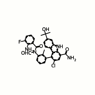 Cc1c(-c2c(Cl)cc(C(N)=O)c3[nH]c4cc(C(C)(C)O)ccc4c23)cccc1N(C=O)C(=O)c1cccc(F)c1N